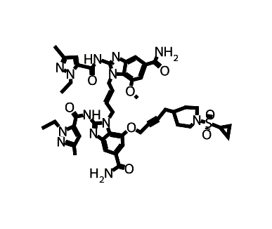 CCn1nc(C)cc1C(=O)Nc1nc2cc(C(N)=O)cc(OC)c2n1C/C=C/Cn1c(NC(=O)c2cc(C)nn2CC)nc2cc(C(N)=O)cc(OCC#CCC3CCN(S(=O)(=O)C4CC4)CC3)c21